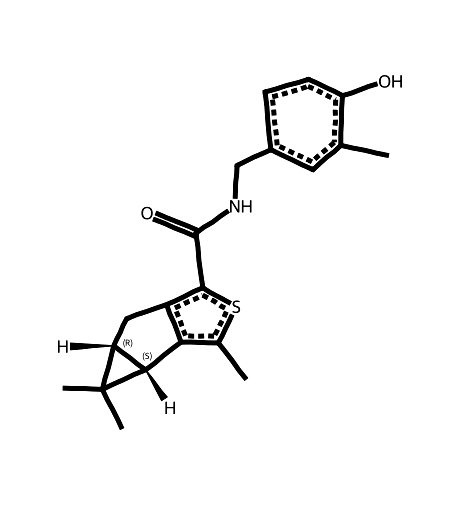 Cc1cc(CNC(=O)c2sc(C)c3c2C[C@@H]2[C@H]3C2(C)C)ccc1O